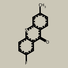 Cc1ccc2c(=O)c3cc(F)ccc3sc2c1